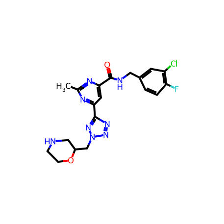 Cc1nc(C(=O)NCc2ccc(F)c(Cl)c2)cc(-c2nnn(CC3CNCCO3)n2)n1